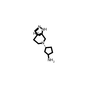 NC1CC[C@@H](N2CCC34C=NNC3(C=CN4)C2)C1